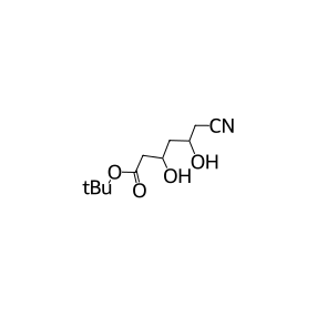 CC(C)(C)OC(=O)CC(O)CC(O)CC#N